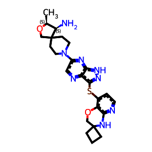 C[C@@H]1OCC2(CCN(c3cnc4c(Sc5ccnc6c5OCC5(CCC5)N6)n[nH]c4n3)CC2)[C@@H]1N